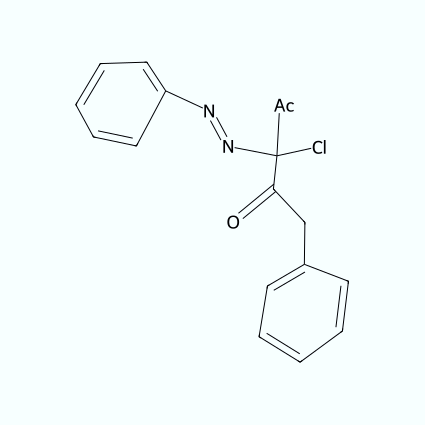 CC(=O)C(Cl)(/N=N/c1ccccc1)C(=O)Cc1ccccc1